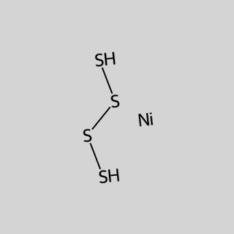 SSSS.[Ni]